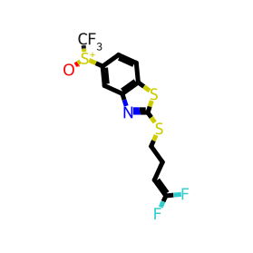 [O-][S+](c1ccc2sc(SCCC=C(F)F)nc2c1)C(F)(F)F